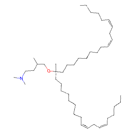 CCCCC/C=C\C/C=C\CCCCCCCCC(C)(CCCCCCCC/C=C\C/C=C\CCCCC)OCC(C)CCN(C)C